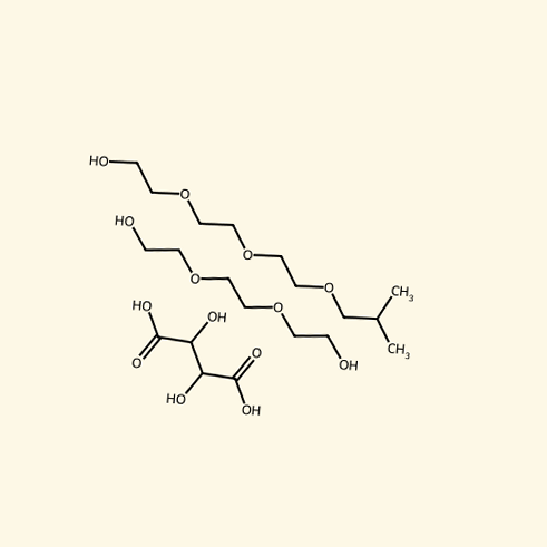 CC(C)COCCOCCOCCO.O=C(O)C(O)C(O)C(=O)O.OCCOCCOCCO